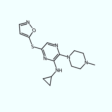 CN1CCN(c2ncc(Sc3ccno3)nc2NC2CC2)CC1